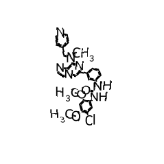 COc1cc(OC)c(NC(=O)Nc2cccc(-c3cn4ccnc4c(N(C)Cc4ccncc4)n3)c2)cc1Cl